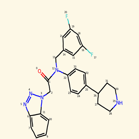 O=C(Cn1nnc2ccccc21)N(Cc1cc(F)cc(F)c1)c1ccc(C2CCNCC2)cc1